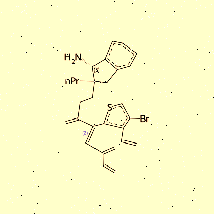 C=CC(=C)/C=C(/C(=C)CCC1(CCC)Cc2ccccc2[C@H]1N)c1scc(Br)c1C=C